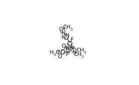 C[C@H]1CN(c2ncc(-c3cc(NC(=O)c4cn(C)c(=O)cc4C(F)(F)F)c(N4CCN(C)[C@@H](C)C4)cc3F)cn2)CCO1